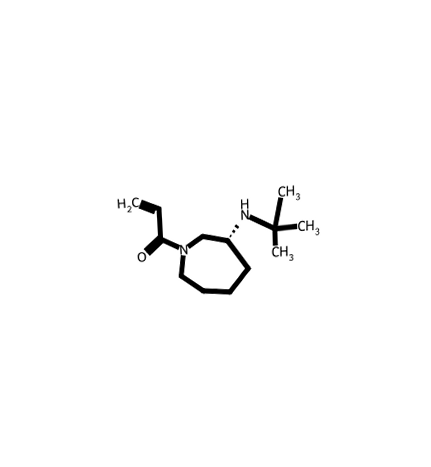 C=CC(=O)N1CCCC[C@@H](NC(C)(C)C)C1